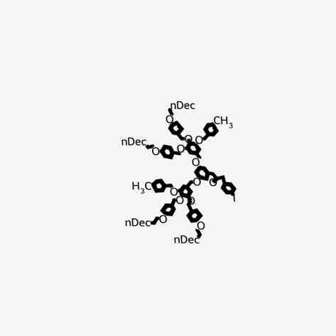 CCCCCCCCCCCCOc1ccc(COc2cc(COc3cc(CC(=O)Cc4ccc(I)cc4)cc(OCc4cc(OCc5ccc(C)cc5)c(OCc5ccc(OCCCCCCCCCCCC)cc5)c(OCc5ccc(OCCCCCCCCCCCC)cc5)c4)c3)cc(OCc3ccc(C)cc3)c2OCc2ccc(OCCCCCCCCCCCC)cc2)cc1